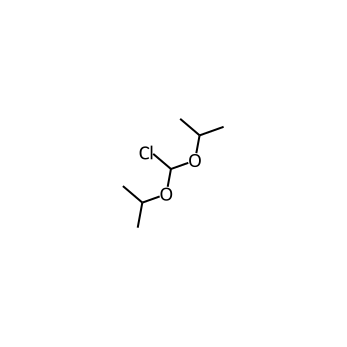 CC(C)OC(Cl)OC(C)C